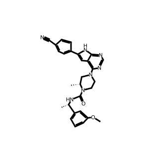 COc1cccc([C@H](C)NC(=O)N2CCN(c3ncnc4[nH]c(-c5ccc(C#N)cc5)cc34)C[C@H]2C)c1